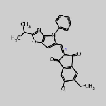 CCc1cc2c(cc1Cl)C(=O)/C(=C\c1cc3oc(C(C)C)nc3n1-c1ccccc1)C2=O